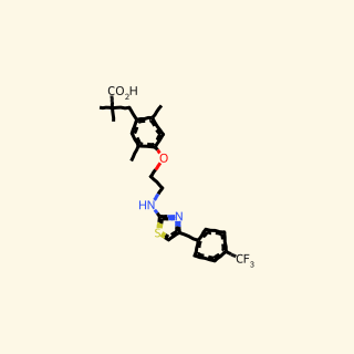 Cc1cc(OCCNc2nc(-c3ccc(C(F)(F)F)cc3)cs2)c(C)cc1CC(C)(C)C(=O)O